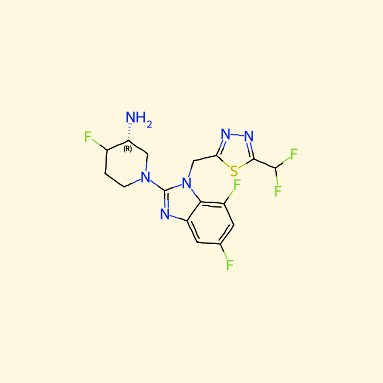 N[C@@H]1CN(c2nc3cc(F)cc(F)c3n2Cc2nnc(C(F)F)s2)CCC1F